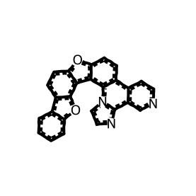 c1ccc2c(c1)oc1c2ccc2oc3ccc4c5ccncc5c5nccn5c4c3c21